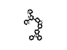 c1ccc(-n2c3ccccc3c3cc(-c4ccc5sc6ccc(-c7cc(-c8ccccn8)nc(-c8ccccn8)c7)cc6c5c4)ccc32)cc1